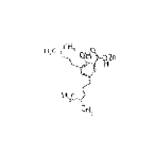 CC(C)CCCc1cc(CCCC(C)C)c(O)c(C(=O)O)c1.[Zn]